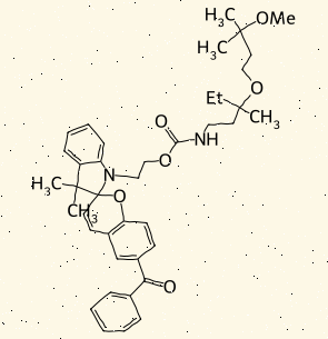 CCC(C)(CCNC(=O)OCCN1c2ccccc2C(C)(C)C12C=Cc1cc(C(=O)c3ccccc3)ccc1O2)OCCC(C)(C)OC